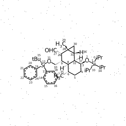 CC(C)[Si](O[C@H]1CC[C@H](C)[C@H]2[C@H](CO[Si](c3ccccc3)(c3ccccc3)C(C)(C)C)[C@H](C=O)[C@]3(C)C[C@@H]3[C@H]21)(C(C)C)C(C)C